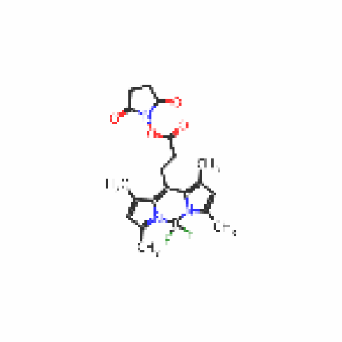 CC1=CC(C)=[N+]2C1=C(CCC(=O)ON1C(=O)CCC1=O)c1c(C)cc(C)n1[B-]2(F)F